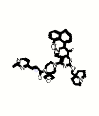 Cc1nccc(/C=C/C(=O)N2CCN(c3nc(OCC45CCCN4CCC5)nc4c(F)c(-c5cccc6cccc(Cl)c56)ncc34)CC23COC3)n1